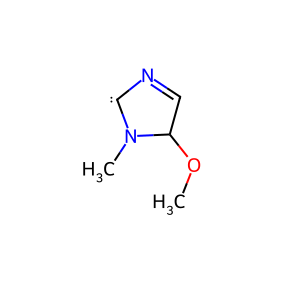 COC1C=N[C]N1C